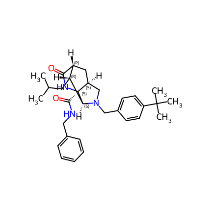 CC(C)C[C@H]1[C@@H]2N(Cc3ccc(C(C)(C)C)cc3)C[C@@H]3C[C@H]1C(=O)N[C@@]32C(=O)NCc1ccccc1